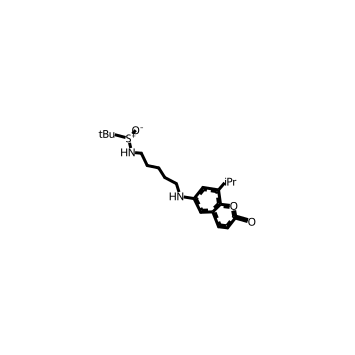 CC(C)c1cc(NCCCCCN[S+]([O-])C(C)(C)C)cc2ccc(=O)oc12